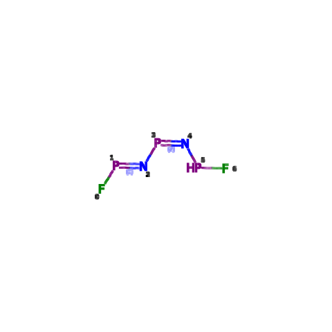 F/P=N/P=N\PF